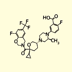 C[C@H]1CN([C@@H]2CC[C@@](C(=O)N3COc4c(F)cc(C(F)(F)F)cc4C3)(C3CC3)OC2)CCN1c1ccc(F)c(C(=O)O)c1